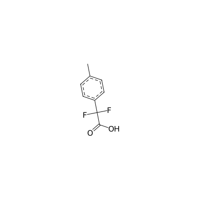 Cc1ccc(C(F)(F)C(=O)O)cc1